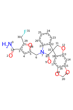 NC(=O)c1cc(CN2C(=O)C3(COc4cc5c(cc43)OCO5)c3ccccc32)oc1CF